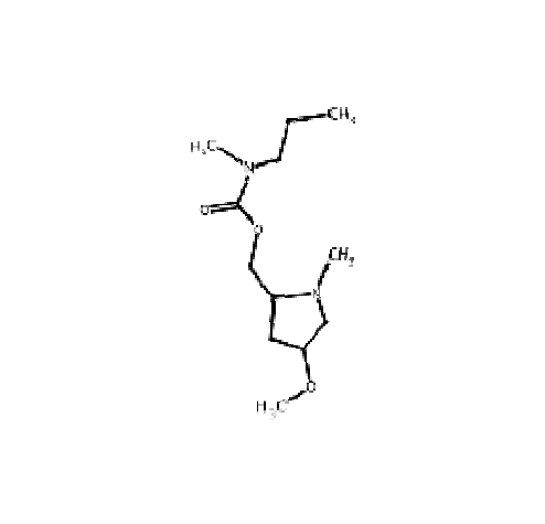 CCCN(C)C(=O)OCC1CC(OC)CN1C